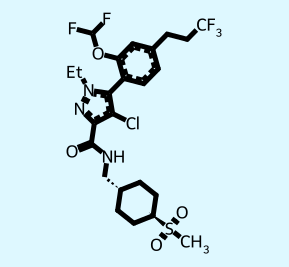 CCn1nc(C(=O)NC[C@H]2CC[C@H](S(C)(=O)=O)CC2)c(Cl)c1-c1ccc(CCC(F)(F)F)cc1OC(F)F